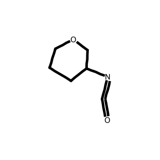 O=C=NC1CCCOC1